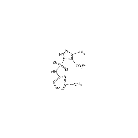 CCOC(=O)c1c(C)n[nH]c1S(=O)(=O)Nc1cccc(C)n1